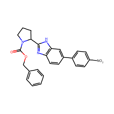 O=C(OCc1ccccc1)N1CCCC1c1nc2ccc(-c3ccc([N+](=O)[O-])cc3)cc2[nH]1